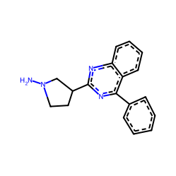 NN1CCC(c2nc(-c3ccccc3)c3ccccc3n2)C1